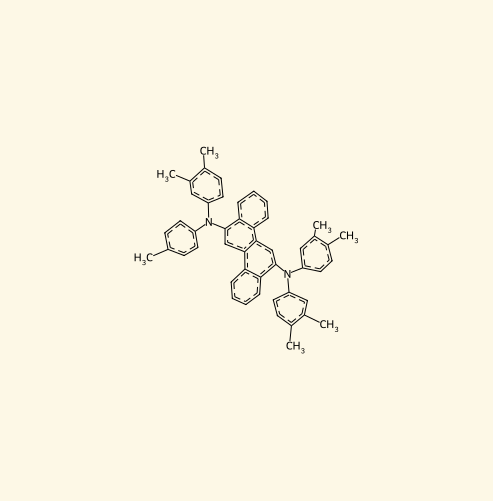 Cc1ccc(N(c2ccc(C)c(C)c2)c2cc3c4ccccc4c(N(c4ccc(C)c(C)c4)c4ccc(C)c(C)c4)cc3c3ccccc23)cc1